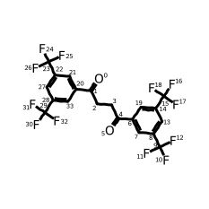 O=C(CCC(=O)c1cc(C(F)(F)F)cc(C(F)(F)F)c1)c1cc(C(F)(F)F)cc(C(F)(F)F)c1